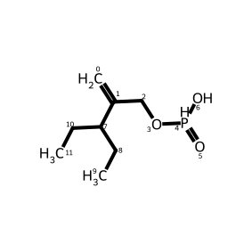 C=C(CO[PH](=O)O)C(CC)CC